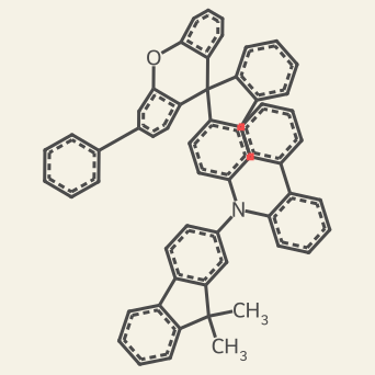 CC1(C)c2ccccc2-c2ccc(N(c3ccc4c(c3)-c3ccccc3C43c4ccccc4Oc4cc(-c5ccccc5)ccc43)c3ccccc3-c3ccccc3)cc21